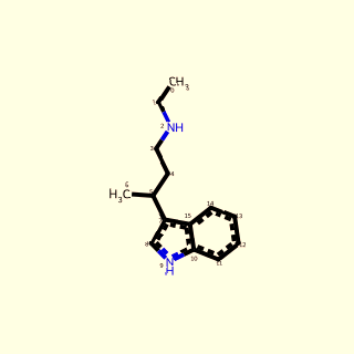 CCNCCC(C)c1c[nH]c2ccccc12